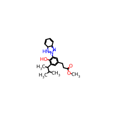 COC(=O)CCc1cc(C(C)C(C)C)c(O)c(N2N=C3C=CC=CC3N2)c1